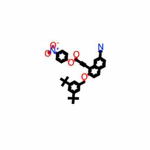 CC(C)(C)c1cc(COc2ccc3ccc(C#N)cc3c2C#CC(=O)Oc2ccc([N+](=O)[O-])cc2)cc(C(C)(C)C)c1